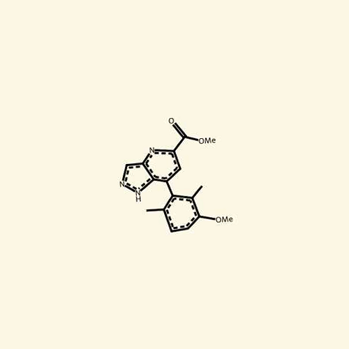 COC(=O)c1cc(-c2c(C)ccc(OC)c2C)c2[nH]ncc2n1